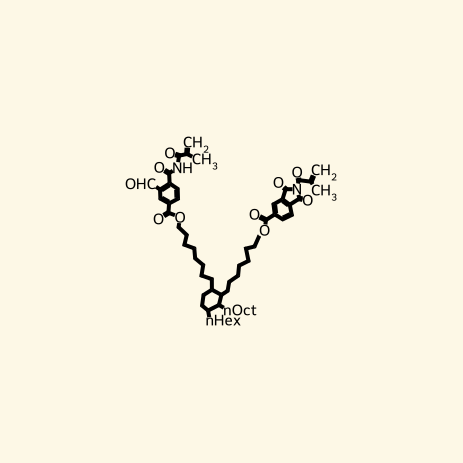 C=C(C)C(=O)NC(=O)c1ccc(C(=O)OCCCCCCCCC2CCC(CCCCCC)C(CCCCCCCC)C2CCCCCCCCOC(=O)c2ccc3c(c2)C(=O)N(C(=O)C(=C)C)C3=O)cc1C=O